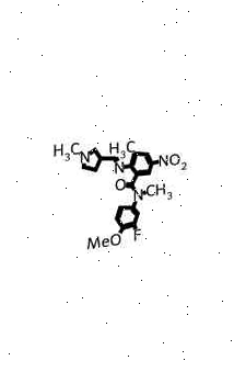 COc1ccc(N(C)C(=O)c2cc([N+](=O)[O-])cc(C)c2/N=C/C2CCN(C)C2)cc1F